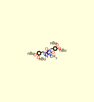 CCCCOc1ccc(Cn2c(=O)c3c(ncn3Cc3ccc(OCCCC)c(OCCCC)c3)n(C)c2=O)cc1OCCCC